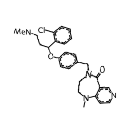 CNCCC(Oc1ccc(CN2CCN(C)c3ccncc3C2=O)cc1)c1ccccc1Cl